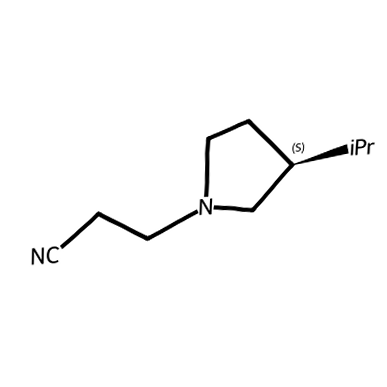 CC(C)[C@@H]1CCN(CCC#N)C1